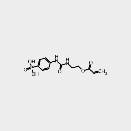 C=CC(=O)OCCNC(=O)Nc1ccc(P(=O)(O)O)cc1